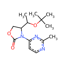 Cc1nccc(N2C(=O)OCC2C(C)OC(C)(C)C)n1